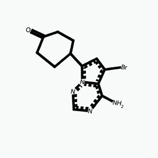 Nc1ncnn2c(C3CCC(=O)CC3)cc(Br)c12